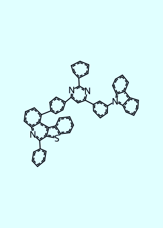 c1ccc(-c2nc(-c3ccc(-c4cccc5nc(-c6ccccc6)c6sc7ccccc7c6c45)cc3)cc(-c3cccc(-n4c5ccccc5c5ccccc54)c3)n2)cc1